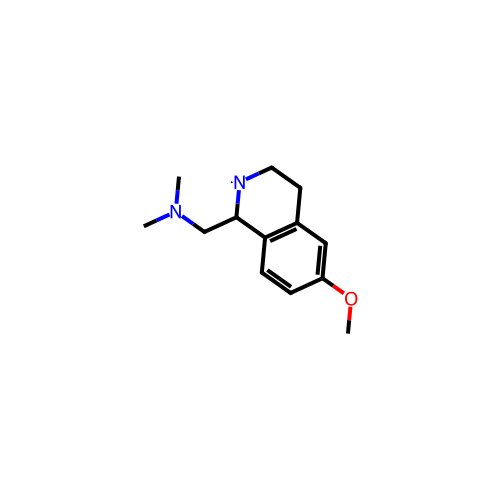 COc1ccc2c(c1)CC[N]C2CN(C)C